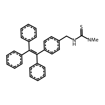 CNC(=S)NCc1ccc(C(=C(c2ccccc2)c2ccccc2)c2ccccc2)cc1